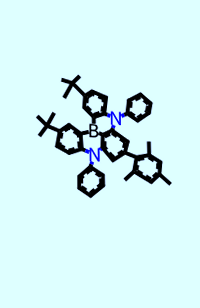 Cc1cc(C)c(-c2cc3c4c(c2)N(c2ccccc2)c2ccc(C(C)(C)C)cc2B4c2cc(C(C)(C)C)ccc2N3c2ccccc2)c(C)c1